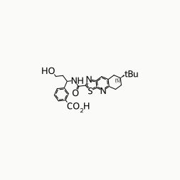 CC(C)(C)[C@H]1CCc2nc3sc(C(=O)NC(CCO)c4cccc(C(=O)O)c4)nc3cc2C1